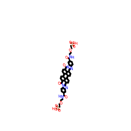 O=C(NCCOCCS(=O)(=O)O)c1ccc2c(c1)nc1c3ccc4c5ccc6c7c(ccc(c8ccc(c(=O)n21)c3c84)c57)c(=O)n1c2cc(C(=O)NCCOCCS(=O)(=O)O)ccc2nc61